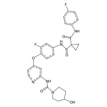 O=C(Nc1cc(Oc2ccc(NC(=O)C3(C(=O)Nc4ccc(F)cc4)CC3)cc2F)ccn1)N1CCC(O)CC1